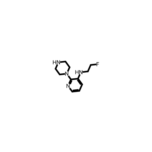 FCCNc1cccnc1N1CCNCC1